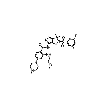 COC[C@@H](C)Nc1cc(N2CCN(C)CC2)ccc1C(=O)Nc1n[nH]c2c1CN(S(=O)(=O)c1cc(F)cc(F)c1)C2(C)C